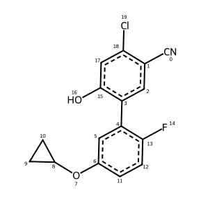 N#Cc1cc(-c2cc(OC3CC3)ccc2F)c(O)cc1Cl